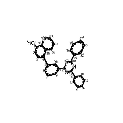 Oc1ccc(-c2cccc(-c3nc(-c4ccccc4)nc(-c4ccccc4)n3)c2)c2cccnc12